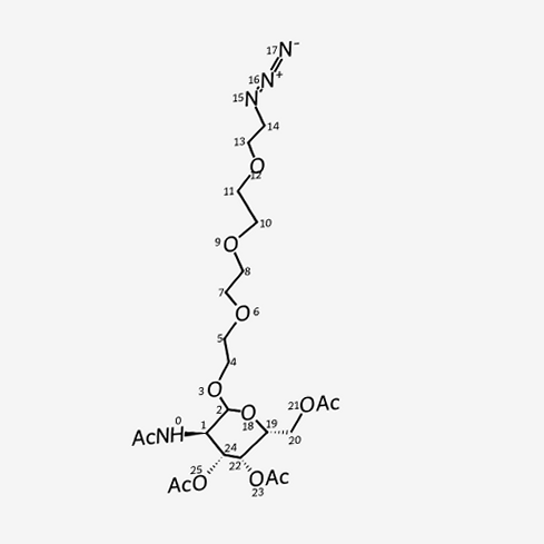 CC(=O)N[C@H]1C(OCCOCCOCCOCCN=[N+]=[N-])O[C@H](COC(C)=O)[C@H](OC(C)=O)[C@@H]1OC(C)=O